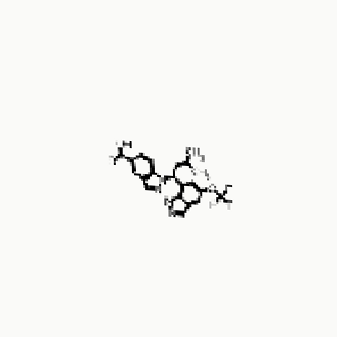 CC(C)CC(c1cc(OC(F)(F)F)cc2cn[nH]c12)n1ncc2cc(C(=O)O)ccc21